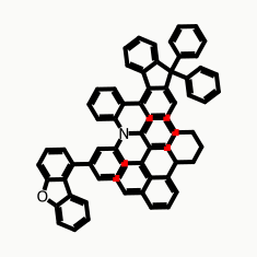 c1ccc(C2(c3ccccc3)c3ccccc3-c3c(-c4ccccc4N(c4cccc(-c5cccc6oc7ccccc7c56)c4)c4ccccc4-c4cccc5cccc(C6CCCCC6)c45)cccc32)cc1